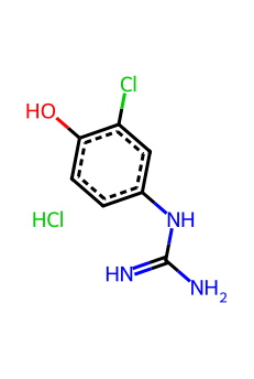 Cl.N=C(N)Nc1ccc(O)c(Cl)c1